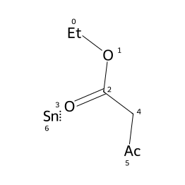 CCOC(=O)CC(C)=O.[Sn]